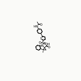 CC(=O)Nc1ccc(-c2ccc(S(=O)(=O)N[C@@]3(C(=O)O)C[C@]3(C)c3ccccc3)s2)cc1